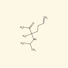 C=CCCC(C)(NC(C)C)C(C)=O